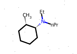 CCCN(CC)[C@@H]1CCCC[C@@H]1C